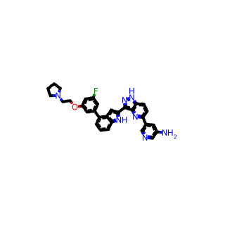 Nc1cncc(-c2ccc3[nH]nc(-c4cc5c(-c6cc(F)cc(OCCN7CCCC7)c6)cccc5[nH]4)c3n2)c1